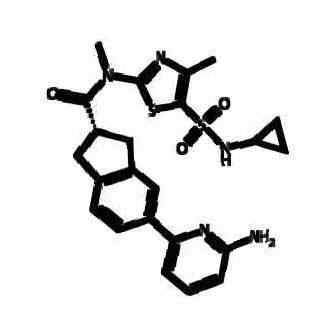 Cc1nc(N(C)C(=O)[C@H]2Cc3ccc(-c4cccc(N)n4)cc3C2)sc1S(=O)(=O)NC1CC1